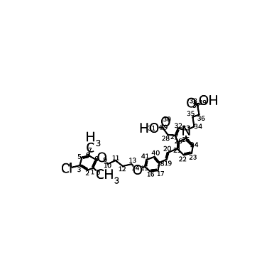 Cc1cc(Cl)cc(C)c1OCCCCOc1ccc(/C=C/c2cccc3c2c(CC(=O)O)cn3CCCC(=O)O)cc1